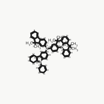 CC1(C)c2ccccc2-c2ccc(N(c3ccc4c(c3)C(C)(C)c3cccc5c3N4c3ccccc3C5(C)C)c3ccc4c(c3)c3c(n4C4=CCCC=C4)CCC=C3)cc21